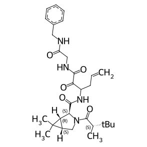 C=CCC(NC(=O)[C@@H]1[C@@H]2[C@H](CN1C(=O)[C@@H](C)C(C)(C)C)C2(C)C)C(=O)C(=O)NCC(=O)NCc1ccccc1